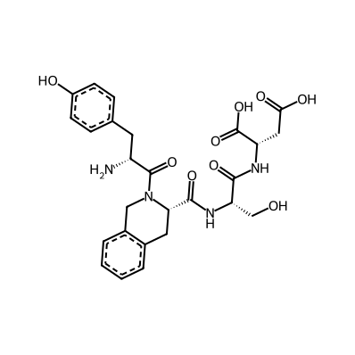 N[C@H](Cc1ccc(O)cc1)C(=O)N1Cc2ccccc2C[C@H]1C(=O)N[C@@H](CO)C(=O)N[C@@H](CC(=O)O)C(=O)O